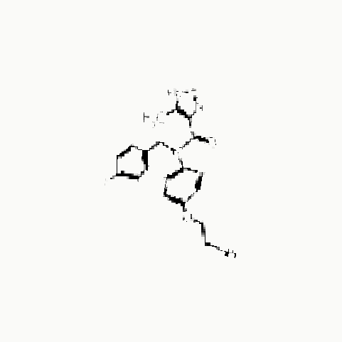 Cc1[nH]nnc1C(=O)N(Cc1ccc(F)cc1)c1ccc(OCCC(C)C)cc1